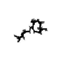 CN(C)CCC[CH2][Al]1[CH2]CN(C)CC[N]1C